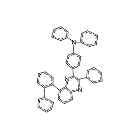 c1ccc(-c2ccccc2-c2cccc3nc(-c4ccccc4)c(-c4ccc(N(c5ccccc5)c5ccccc5)cc4)nc23)cc1